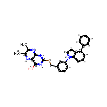 Cc1nc2nc(SCc3cccc(-n4ccc5c(-c6ccccc6)cccc54)c3)nc(O)c2nc1C